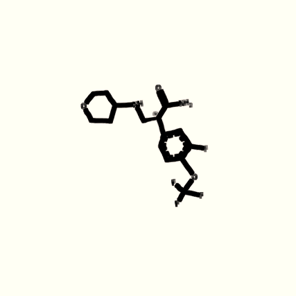 NC(=O)[C@H](CNC1CCOCC1)c1ccc(OC(F)(F)F)c(F)c1